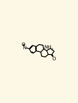 N[C@@]12CCc3cc(N=O)ccc3C1CCC1C(=O)CCC12